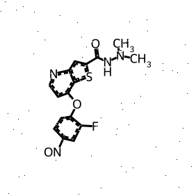 CN(C)NC(=O)c1cc2nccc(Oc3ccc(N=O)cc3F)c2s1